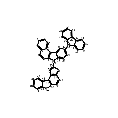 c1ccc2c(c1)ccc1c2c2cc(-n3c4ccccc4c4ccccc43)ccc2n1-c1nc2c(ccc3oc4ccccc4c32)s1